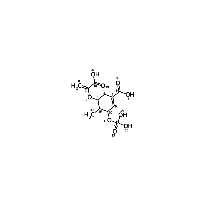 C=C(OC1CC(C(=O)O)=CC(OP(=O)(O)O)C1C)C(=O)O